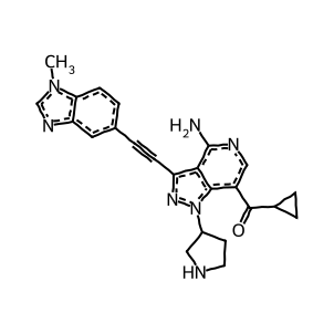 Cn1cnc2cc(C#Cc3nn(C4CCNC4)c4c(C(=O)C5CC5)cnc(N)c34)ccc21